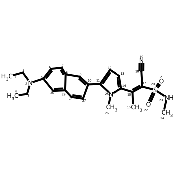 CCN(CC)c1ccc2cc(-c3ccc(/C(C)=C(\C#N)S(=O)(=O)NC)n3C)ccc2c1